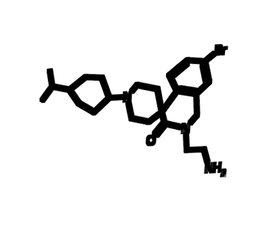 CC(C)C1CCC(N2CCC3(CC2)C(=O)N(CCN)Cc2cc(Br)ccc23)CC1